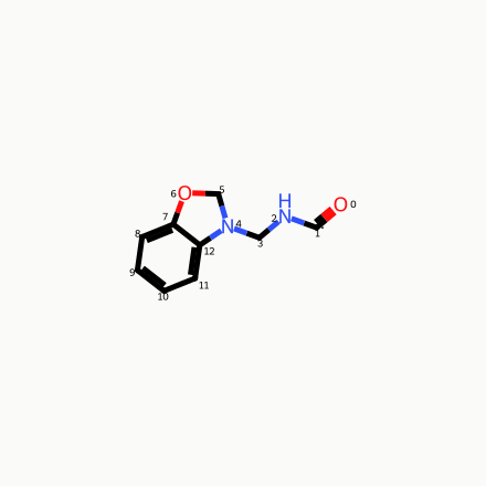 O=[C]NCN1COc2ccccc21